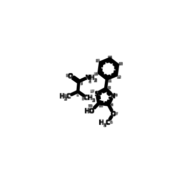 CC(C)C(N)=O.COc1nc(-c2ccccc2)sc1O